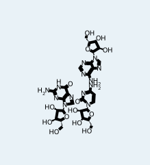 Nc1ccn([C@@H]2O[C@H](CO)[C@@H](O)[C@H]2O)c(=O)n1.Nc1nc2c(ncn2[C@@H]2O[C@H](CO)[C@@H](O)[C@H]2O)c(=O)[nH]1.Nc1ncnc2c1ncn2[C@@H]1O[C@H](CO)[C@@H](O)[C@H]1O